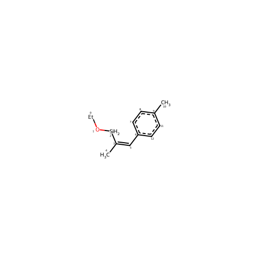 CCO[SiH2]C(C)=Cc1ccc(C)cc1